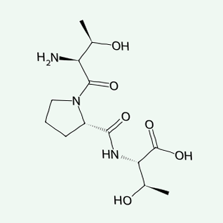 C[C@@H](O)[C@H](N)C(=O)N1CCC[C@H]1C(=O)N[C@H](C(=O)O)[C@@H](C)O